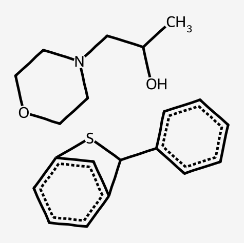 CC(O)CN1CCOCC1.c1ccc(C2Sc3cccc2c3)cc1